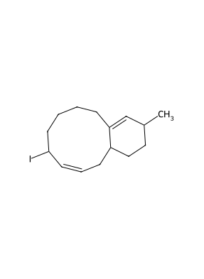 CC1C=C2CCCCC(I)/C=C\CC2CC1